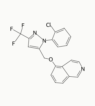 FC(F)(F)c1cc(COc2cccc3cnccc23)n(-c2ccccc2Cl)n1